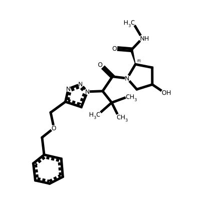 CNC(=O)[C@H]1CC(O)CN1C(=O)C(n1cc(COCc2ccccc2)nn1)C(C)(C)C